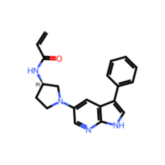 C=CC(=O)N[C@@H]1CCN(c2cnc3[nH]cc(-c4ccccc4)c3c2)C1